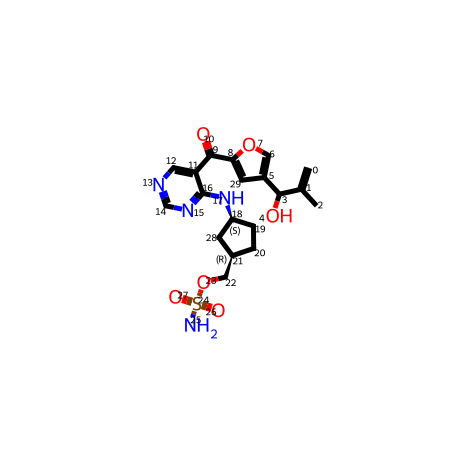 C=C(C)C(O)c1coc(C(=O)c2cncnc2N[C@H]2CC[C@@H](COS(N)(=O)=O)C2)c1